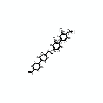 C=CC1CCC(C2CCC(COc3ccc(-c4ccc(OCC)c(F)c4)c(F)c3)OC2)CC1